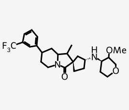 COC1COCC[C@H]1N[C@@H]1CC[C@@]2(C1)C(=O)N1CCC(c3cccc(C(F)(F)F)c3)CC1C2C